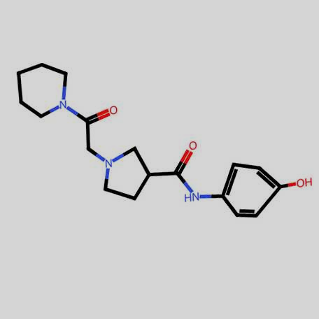 O=C(Nc1ccc(O)cc1)C1CCN(CC(=O)N2CCCCC2)C1